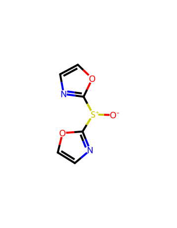 [O-][S+](c1ncco1)c1ncco1